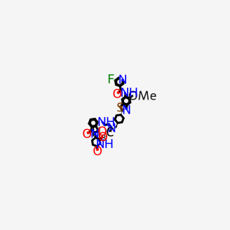 COc1cc2nc([C@H]3CC[C@H](CN(C)CCNc4cccc5c4C(=O)N(C4CCC(=O)NC4=O)C5=O)CC3)sc2cc1NC(=O)c1cncc(F)c1